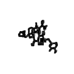 Cc1cc(CNC(=O)c2nc3n(c(=O)c2O)CC2(Cn4cccn4)CCC3(N(C)C(=O)C(=O)N(C)C)CC2)ccc1F